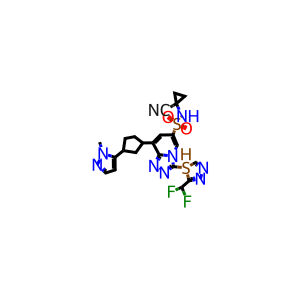 Cn1nccc1C1CCC(c2cc(S(=O)(=O)NC3(C#N)CC3)cn3c([SH]4C=NN=C4C(F)F)nnc23)C1